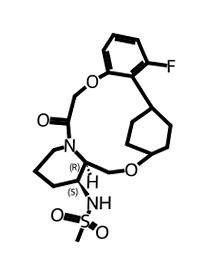 CS(=O)(=O)N[C@H]1CCCN2C(=O)COc3cccc(F)c3C3CCC(CC3)OC[C@@H]12